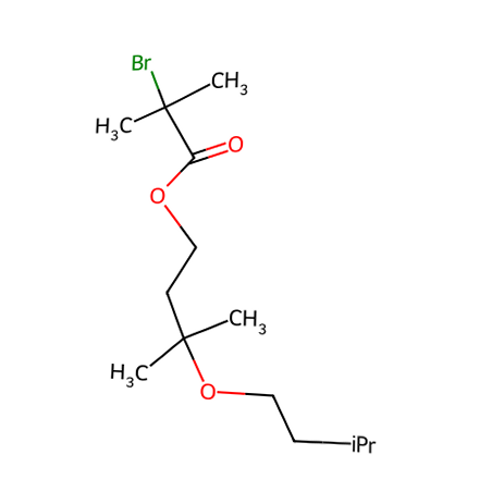 CC(C)CCOC(C)(C)CCOC(=O)C(C)(C)Br